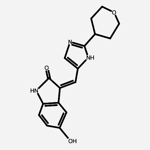 O=C1Nc2ccc(O)cc2C1=Cc1cnc(C2CCOCC2)[nH]1